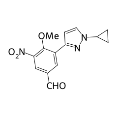 COc1c(-c2ccn(C3CC3)n2)cc(C=O)cc1[N+](=O)[O-]